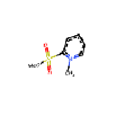 COS(=O)(=O)c1cccc[n+]1C